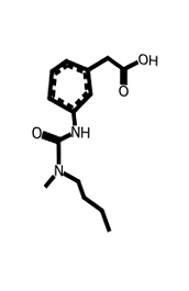 CCCCN(C)C(=O)Nc1cccc(CC(=O)O)c1